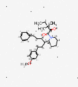 CCC(C)(C)C(=O)C(=O)N1CCCCC1C(CCCc1ccccc1)CCc1ccc(OC)cc1